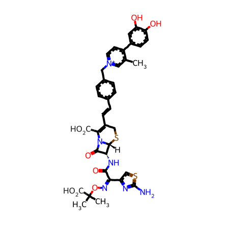 Cc1c[n+](Cc2ccc(/C=C/C3=C(C(=O)O)N4C(=O)[C@@H](NC(=O)/C(=N\OC(C)(C)C(=O)O)c5csc(N)n5)[C@H]4SC3)cc2)ccc1-c1ccc(O)c(O)c1